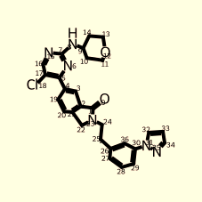 O=C1c2cc(-c3nc(NC4CCOCC4)ncc3Cl)ccc2CN1C[CH]c1cccc(-n2cccn2)c1